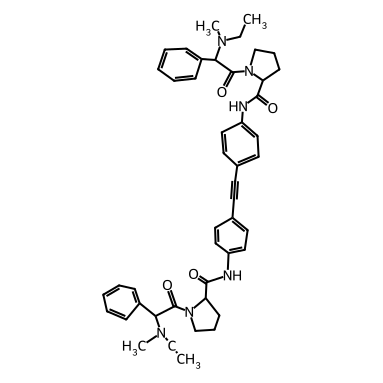 CCN(C)C(C(=O)N1CCCC1C(=O)Nc1ccc(C#Cc2ccc(NC(=O)C3CCCN3C(=O)C(c3ccccc3)N(C)CC)cc2)cc1)c1ccccc1